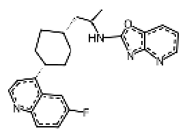 CC(C[C@H]1CC[C@@H](c2ccnc3ccc(F)cc32)CC1)Nc1nc2ncccc2o1